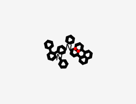 C1=C=C(N(c2ccccc2)c2ccc3c4c(-c5ccccc5)cccc4n(-c4ccccc4)c3c2)C=CC=1c1cccc2cccc(C3=CC=CCC3)c12